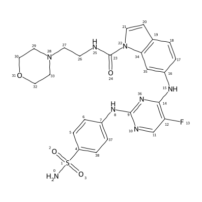 NS(=O)(=O)c1ccc(Nc2ncc(F)c(Nc3ccc4ccn(C(=O)NCCN5CCOCC5)c4c3)n2)cc1